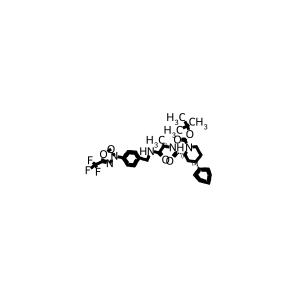 C[C@H](NC(=O)[C@H]1C[C@@H](c2ccccc2)CCN1C(=O)OC(C)(C)C)C(=O)NCc1ccc(N2N=C(C(F)(F)F)OO2)cc1